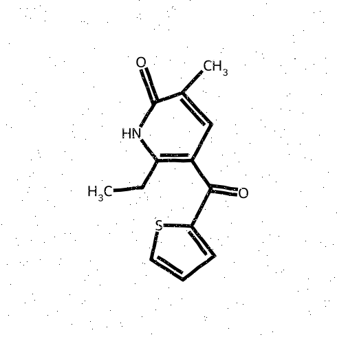 CCc1[nH]c(=O)c(C)cc1C(=O)c1cccs1